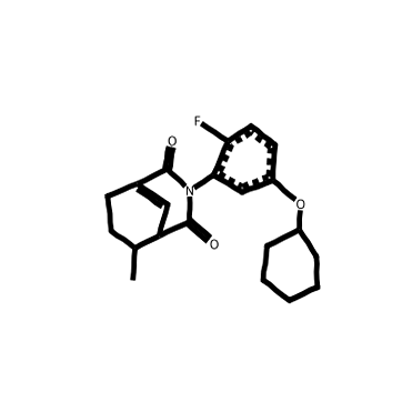 CC1CCC2=CC1C(=O)N(c1cc(OC3CCCCC3)ccc1F)C2=O